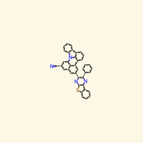 N#Cc1cc2cc(-c3nc4sc5ccccc5c4nc3-c3ccccc3)cc3c4cccc5c6ccccc6n(c(c1)c23)c45